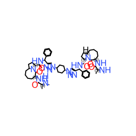 CN[C@@H](C)C(=O)N[C@H]1CCCCC2CC[C@@H](C(=O)NC(c3ccccc3)c3cn(C4CCC(n5cc(C(NC(=O)[C@@H]6CC[C@@H]7CCCC[C@H](NC(=O)[C@H](C)NC)C(=O)N76)c6ccccc6)nn5)CC4)nn3)N2C1=O